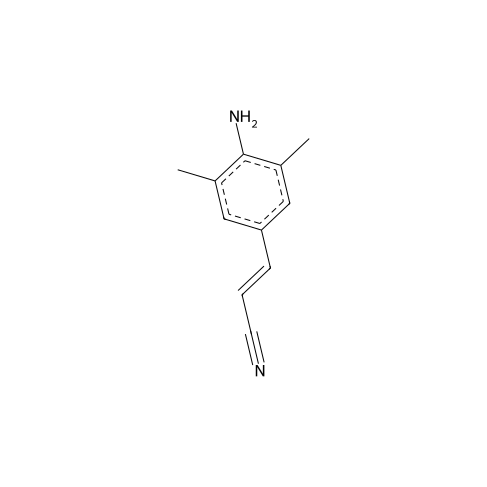 Cc1cc(C=CC#N)cc(C)c1N